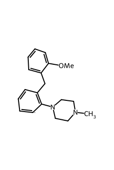 COc1ccccc1Cc1ccc[c]c1N1CCN(C)CC1